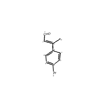 CC(=CC=O)c1ccc(C(C)C)cc1